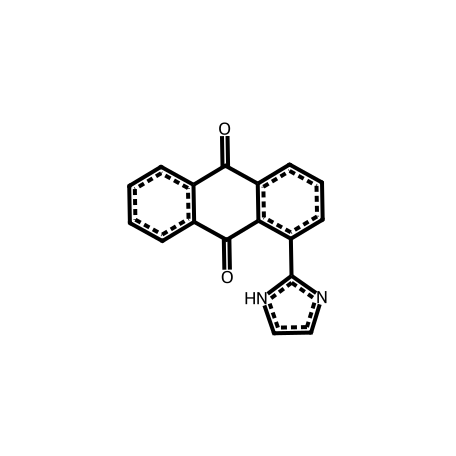 O=C1c2ccccc2C(=O)c2c1cccc2-c1ncc[nH]1